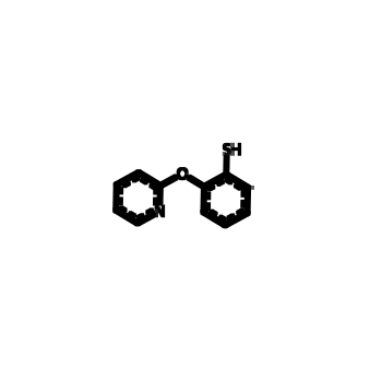 Sc1[c]cccc1Oc1ccccn1